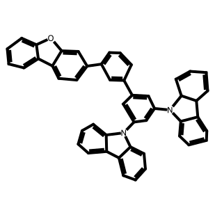 C1=CC2c3ccccc3N(c3cc(-c4cccc(-c5ccc6c(c5)oc5ccccc56)c4)cc(-n4c5ccccc5c5ccccc54)c3)C2C=C1